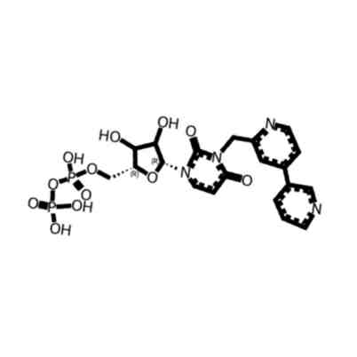 O=c1ccn([C@@H]2O[C@H](COP(=O)(O)OP(=O)(O)O)C(O)C2O)c(=O)n1Cc1cc(-c2cccnc2)ccn1